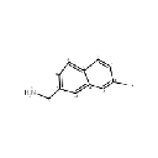 NCc1ccc2ccc(I)cc2c1